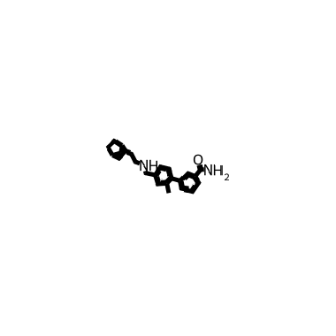 Cc1cc(CNCCC2CC3CCC2C3)ccc1-c1cccc(C(N)=O)c1